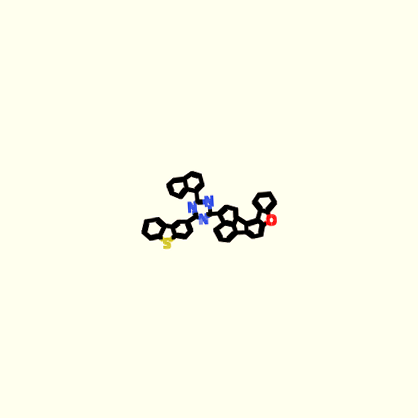 c1ccc2c(-c3nc(-c4ccc5sc6ccccc6c5c4)nc(-c4ccc5c6c(cccc46)-c4ccc6oc7ccccc7c6c4-5)n3)cccc2c1